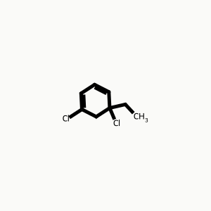 CCC1(Cl)[CH]C(Cl)=CC=C1